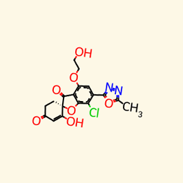 Cc1nnc(-c2cc(OCCO)c3c(c2Cl)O[C@]2(CCC(=O)C=C2O)C3=O)o1